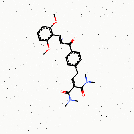 COc1cccc(OC)c1/C=C/C(=O)c1ccc(CC=C(C(=O)N(C)C)C(=O)N(C)C)cc1